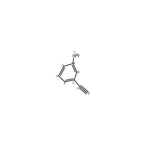 C#Cc1cc[c]c(CCC)c1